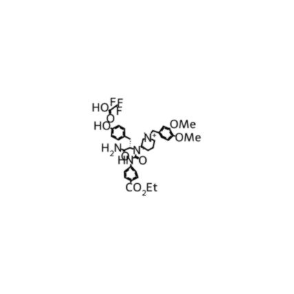 CCOC(=O)c1ccc(NC(=O)/[N+](=C2\CCC[N+](C)(Cc3ccc(OC)c(OC)c3)C2)[C@@H](Cc2ccc(O)cc2)C(N)=O)cc1.O=C(O)C(F)(F)F